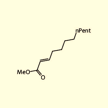 CCCCCCCCCC=CC(=O)OC